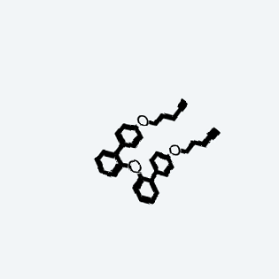 C#CCCCOc1ccc(-c2ccccc2Oc2ccccc2-c2ccc(OCCCC#C)cc2)cc1